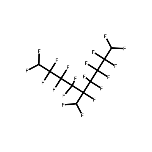 FC(F)C(F)(F)C(F)(F)C(F)(F)C(F)(C(F)F)C(F)(F)C(F)(F)C(F)(F)C(F)F